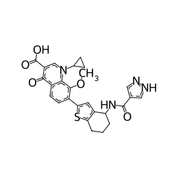 COc1c(-c2cc3c(s2)CCCC3NC(=O)c2cn[nH]c2)ccc2c(=O)c(C(=O)O)cn(C3CC3)c12